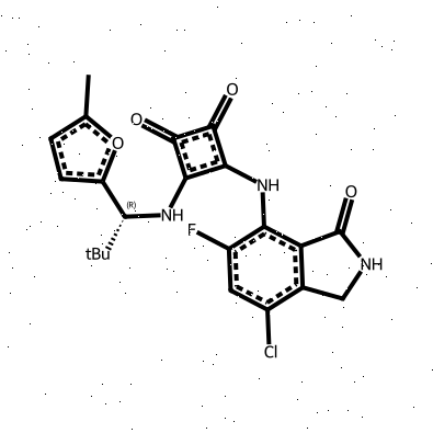 Cc1ccc([C@H](Nc2c(Nc3c(F)cc(Cl)c4c3C(=O)NC4)c(=O)c2=O)C(C)(C)C)o1